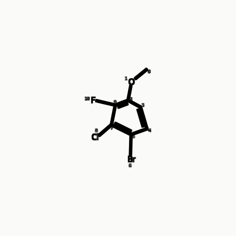 COc1ccc(Br)c(Cl)c1F